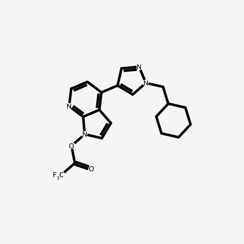 O=C(On1ccc2c(-c3cnn(CC4CCCCC4)c3)ccnc21)C(F)(F)F